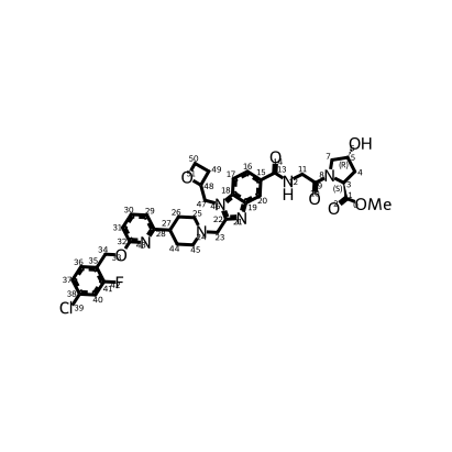 COC(=O)[C@@H]1C[C@@H](O)CN1C(=O)CNC(=O)c1ccc2c(c1)nc(CN1CCC(c3cccc(OCc4ccc(Cl)cc4F)n3)CC1)n2CC1CCO1